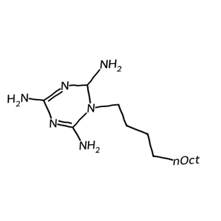 CCCCCCCCCCCCN1C(N)=NC(N)=NC1N